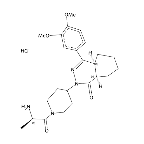 COc1ccc(C2=NN(C3CCN(C(=O)[C@@H](C)N)CC3)C(=O)[C@@H]3CCCC[C@H]23)cc1OC.Cl